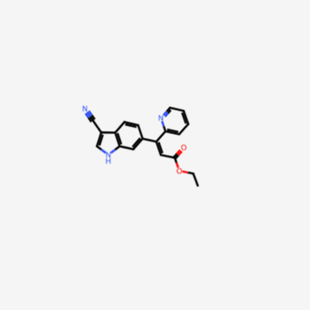 CCOC(=O)C=C(c1ccc2c(C#N)c[nH]c2c1)c1ccccn1